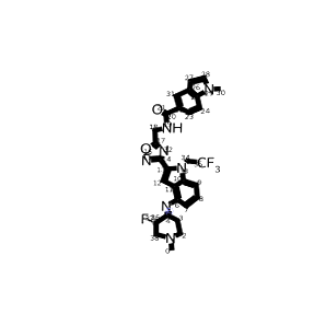 CN1CC/C(=N\c2cccc3c2cc(-c2noc(CNC(=O)c4ccc5c(ccn5C)c4)n2)n3CC(F)(F)F)[C@@H](F)C1